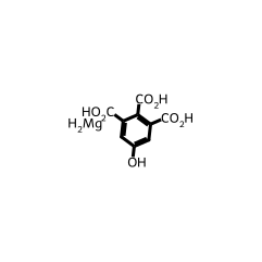 O=C(O)c1cc(O)cc(C(=O)O)c1C(=O)O.[MgH2]